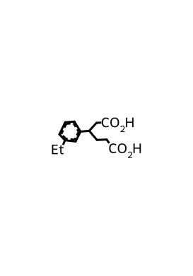 CCc1cccc(C(CCC(=O)O)CC(=O)O)c1